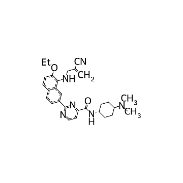 C=C(C#N)CNc1c(OCC)ccc2ccc(-c3nccc(C(=O)N[C@H]4CC[C@H](N(C)C)CC4)n3)cc12